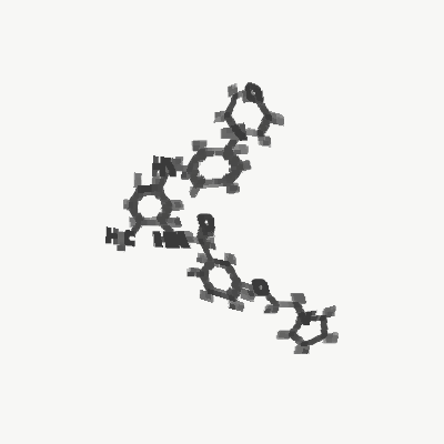 Cc1ccc(Nc2cccc(N3CCOCC3)c2)cc1NC(=O)c1cccc(OCCN2CCCC2)c1